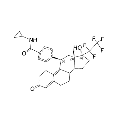 C[C@]12C[C@H](c3ccc(C(=O)NC4CC4)cc3)C3=C4CCC(=O)C=C4CCC3C1CC[C@]2(O)C(F)(F)C(F)(F)F